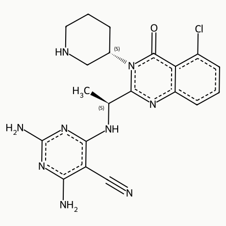 C[C@H](Nc1nc(N)nc(N)c1C#N)c1nc2cccc(Cl)c2c(=O)n1[C@H]1CCCNC1